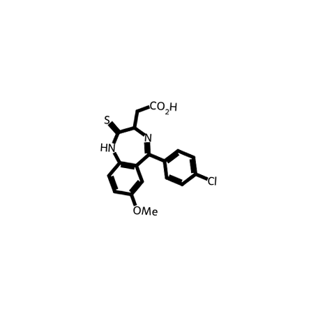 COc1ccc2c(c1)C(c1ccc(Cl)cc1)=NC(CC(=O)O)C(=S)N2